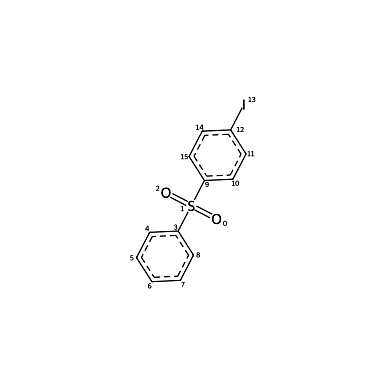 O=S(=O)(c1ccccc1)c1ccc(I)cc1